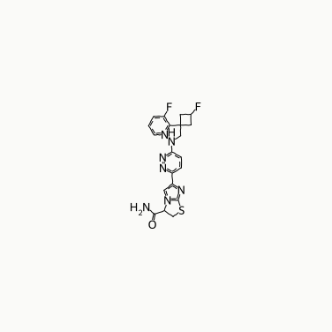 NC(=O)C1CSc2nc(-c3ccc(NCC4(c5ncccc5F)CC(F)C4)nn3)cn21